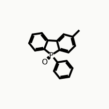 Cc1ccc2c(c1)-c1ccccc1P2(=O)c1ccccc1